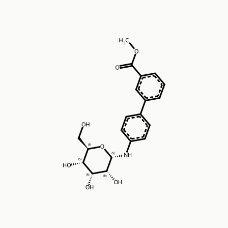 COC(=O)c1cccc(-c2ccc(N[C@H]3O[C@H](CO)[C@@H](O)[C@@H](O)[C@H]3O)cc2)c1